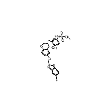 O=S(=O)(Nc1cccc(C[C@H]2COc3ccc(OCc4nc5cc(F)ccc5s4)cc3[C@H]2O)c1)C(F)(F)F